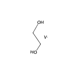 OCCO.[V]